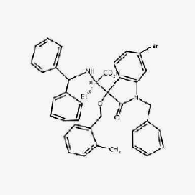 CC[C@](NC(c1ccccc1)c1ccccc1)(C(=O)O)C1(OCc2ccccc2C)C(=O)N(Cc2ccccc2)c2cc(Br)ccc21